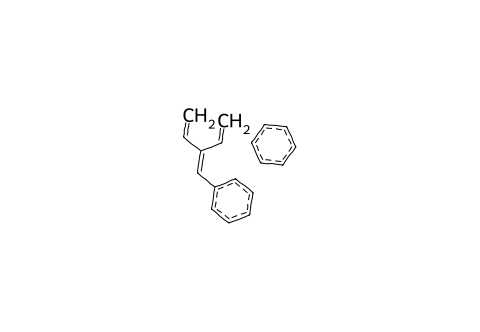 C=CC(C=C)=Cc1ccccc1.c1ccccc1